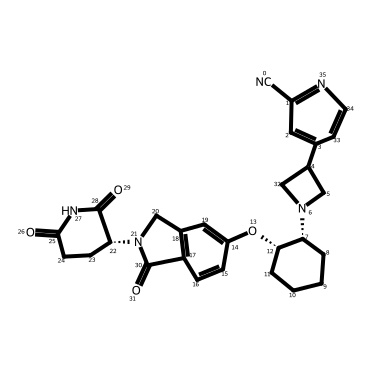 N#Cc1cc(C2CN([C@@H]3CCCC[C@@H]3Oc3ccc4c(c3)CN([C@@H]3CCC(=O)NC3=O)C4=O)C2)ccn1